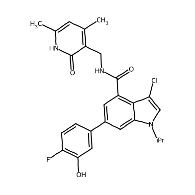 Cc1cc(C)c(CNC(=O)c2cc(-c3ccc(F)c(O)c3)cc3c2c(Cl)cn3C(C)C)c(=O)[nH]1